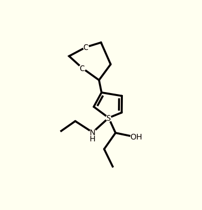 CCNS1(C(O)CC)C=CC(C2CCCCC2)=C1